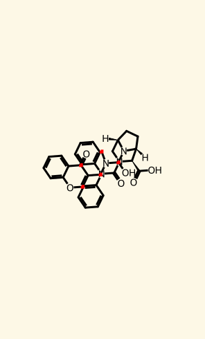 CN(Cc1coc2ccccc2c1=O)C(O)N1[C@H]2CC[C@@H]1[C@@H](C(=O)O)N(C(=O)N(c1ccccc1)c1ccccc1)C2